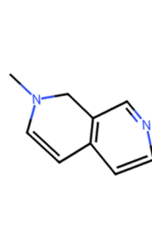 CN1C=Cc2ccncc2C1